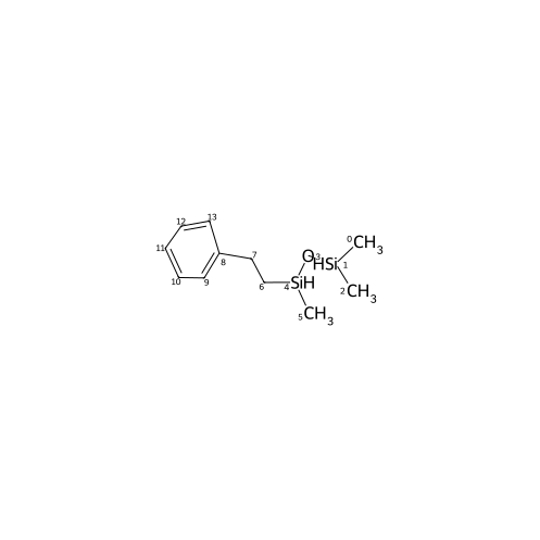 C[SiH](C)O[SiH](C)CCc1ccccc1